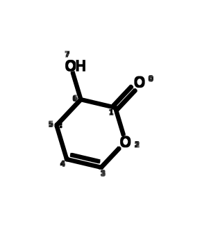 O=C1OC=C[C]C1O